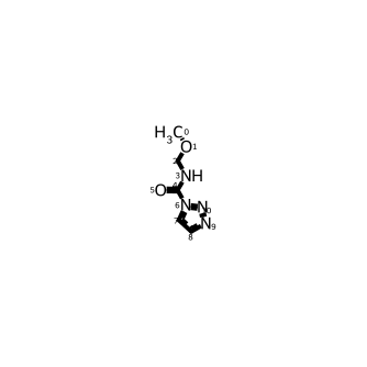 COCNC(=O)n1ccnn1